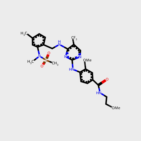 COCCNC(=O)c1ccc(Nc2ncc(C(F)(F)F)c(NCc3ccc(C)cc3N(C)S(C)(=O)=O)n2)c(OC)c1